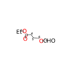 CCOC(=O)CCCOC=O